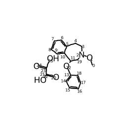 CON1CCc2ccccc2C(Oc2ccccc2)C1.O=C(O)C(=O)O